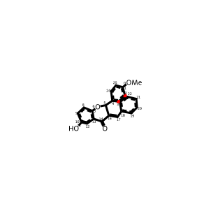 COc1ccc(C2Oc3ccc(O)cc3C(=O)/C2=C/c2ccccc2)cc1